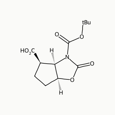 CC(C)(C)OC(=O)N1C(=O)O[C@H]2CC[C@@H](C(=O)O)[C@H]21